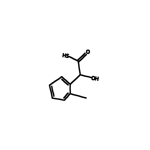 Cc1ccccc1C(O)C(=O)S